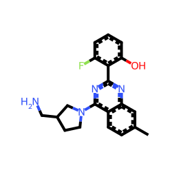 Cc1ccc2c(N3CCC(CN)C3)nc(-c3c(O)cccc3F)nc2c1